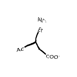 CCC(C(C)=O)C(=O)[O-].[Al+]